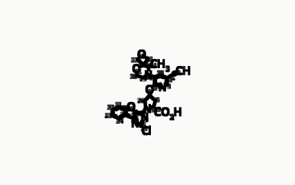 C#Cc1cnc(O[C@H]2C[C@@H](C(=O)O)N(c3nc(Cl)nc4c3oc3ccccc34)C2)c(N2CCOC3(COC3)[C@@H]2C)c1